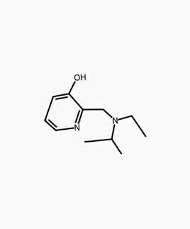 CCN(Cc1ncccc1O)C(C)C